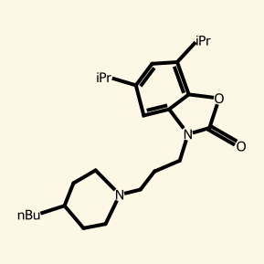 CCCCC1CCN(CCCn2c(=O)oc3c(C(C)C)cc(C(C)C)cc32)CC1